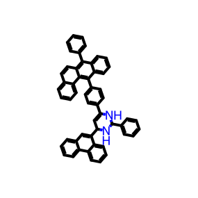 C1=C(c2ccc(-c3c4ccccc4c(-c4ccccc4)c4ccc5ccccc5c34)cc2)NC(c2ccccc2)NC1c1cc2ccccc2c2ccccc12